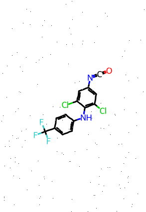 O=C=Nc1cc(Cl)c(Nc2ccc(C(F)(F)F)cc2)c(Cl)c1